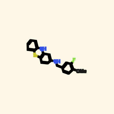 COc1ccc(CNc2ccc3c(c2)Nc2ccccc2S3)cc1F